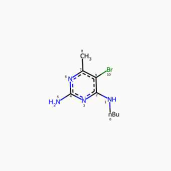 CCCCNc1nc(N)nc(C)c1Br